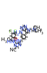 C[C@H](NC(=O)c1nc(C#N)cnc1NCc1ccc(-c2cn(CCN(C)C)c3ncnc(N)c23)cc1)c1ccc(F)c(F)c1